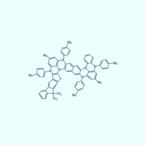 CC(C)(C)c1ccc(N2c3ccccc3B3c4cc5cc6c(cc5cc4N(c4ccc(C(C)(C)C)cc4)c4cc(C(C)(C)C)cc2c43)N2c3sc4cc5c(cc4c3N(c3ccc(C(C)(C)C)cc3)c3cc(C(C)(C)C)cc(c32)N6c2ccc(C(C)(C)C)cc2)-c2ccccc2C5(C)C)cc1